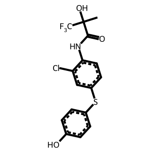 CC(O)(C(=O)Nc1ccc(Sc2ccc(O)cc2)cc1Cl)C(F)(F)F